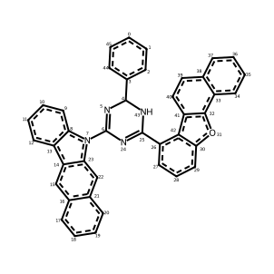 c1ccc(C2N=C(n3c4ccccc4c4cc5ccccc5cc43)N=C(c3cccc4oc5c6ccccc6ccc5c34)N2)cc1